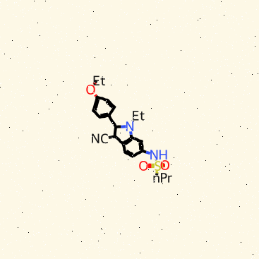 CCCS(=O)(=O)Nc1ccc2c(c1)N(CC)C(c1ccc(OCC)cc1)C2C#N